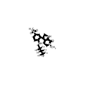 Cn1ccc2c(-c3cc(S(C)(=O)=O)ccc3NCC(F)(F)C(F)(F)C(F)(F)F)c[nH]c2c1=O